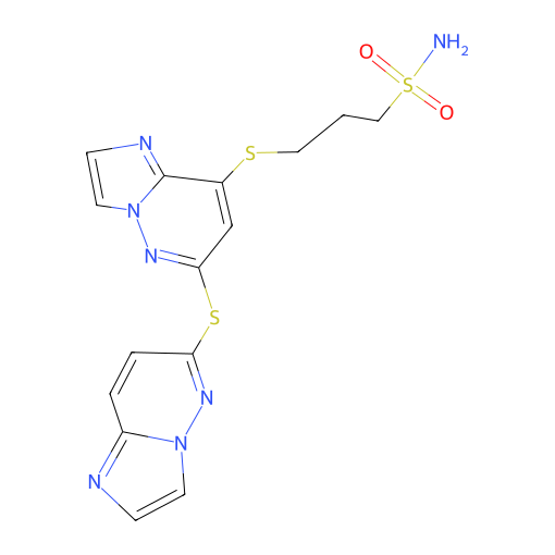 NS(=O)(=O)CCCSc1cc(Sc2ccc3nccn3n2)nn2ccnc12